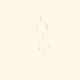 [CH2]c1ccc(-c2ccc(F)cc2)cc1